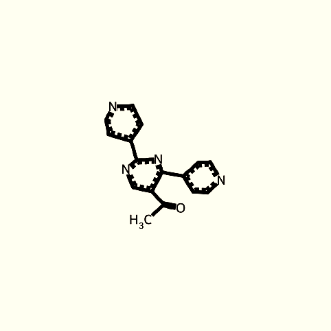 CC(=O)c1cnc(-c2ccncc2)nc1-c1ccncc1